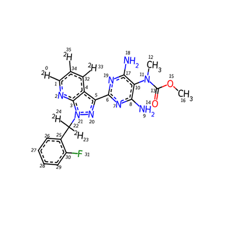 [2H]c1nc2c(c(-c3nc(N)c(N(C)C(=O)OC)c(N)n3)nn2C([2H])([2H])c2ccccc2F)c([2H])c1[2H]